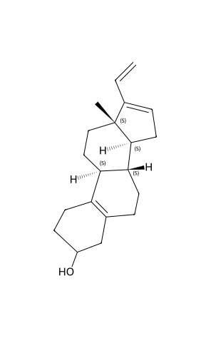 C=CC1=CC[C@H]2[C@@H]3CCC4=C(CCC(O)C4)[C@H]3CC[C@]12C